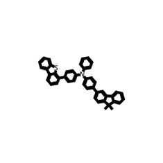 CC1(C)c2ccccc2-c2cc(-c3ccc(N(c4ccccc4)c4ccc(-c5cccc6c5sc5ccccc56)cc4)cc3)ccc21